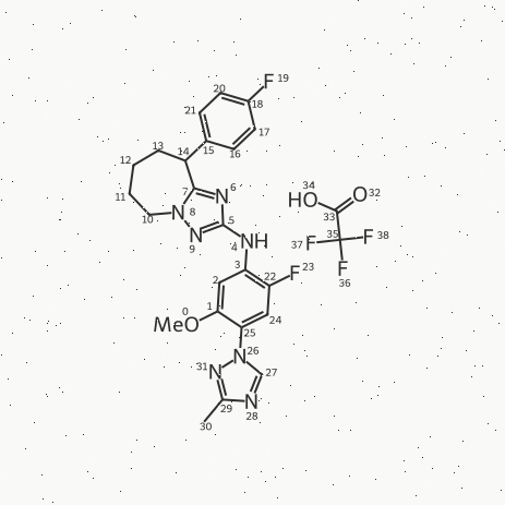 COc1cc(Nc2nc3n(n2)CCCCC3c2ccc(F)cc2)c(F)cc1-n1cnc(C)n1.O=C(O)C(F)(F)F